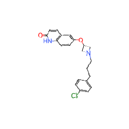 O=c1ccc2cc(OC3CN(CCCc4ccc(Cl)cc4)C3)ccc2[nH]1